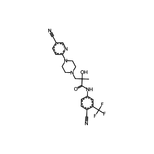 CC(O)(CN1CCN(c2ccc(C#N)cn2)CC1)C(=O)Nc1ccc(C#N)c(C(F)(F)F)c1